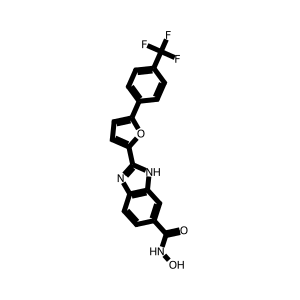 O=C(NO)c1ccc2nc(-c3ccc(-c4ccc(C(F)(F)F)cc4)o3)[nH]c2c1